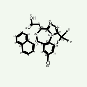 O=C(O)C[C@@H]1S[C@@H](c2cccc3ccccc23)c2cc(Cl)ccc2-n2c1nnc2C(F)(F)F